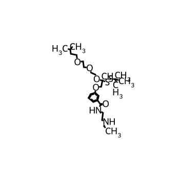 CCNCCNC(=O)c1cccc(OCC(C)(OCCOCCOCCC(C)C)SSC(C)(C)C)c1